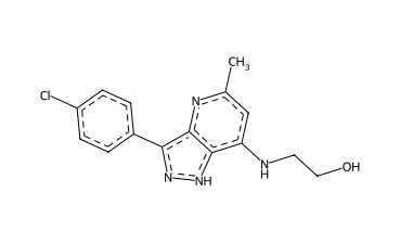 Cc1cc(NCCO)c2[nH]nc(-c3ccc(Cl)cc3)c2n1